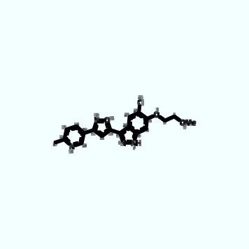 COCCOc1cc2[nH]nc(-c3cc(-c4ccc(C)nc4)no3)c2cc1Cl